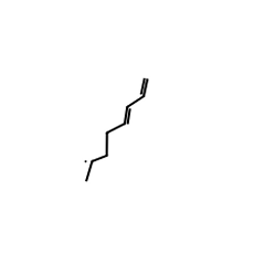 C=CC=CCC[CH]C